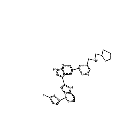 Fc1ccc(-c2cccc3[nH]c(-c4n[nH]c5ncc(-c6cncc(CNCC7CCCC7)c6)cc45)cc23)s1